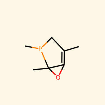 CC1=C2OC2(C)P(C)C1